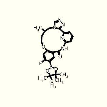 CC1CCOc2cc(F)c(B3OC(C)(C)C(C)(C)O3)cc2C(=O)Nc2cccc(n2)-c2nncn2C1